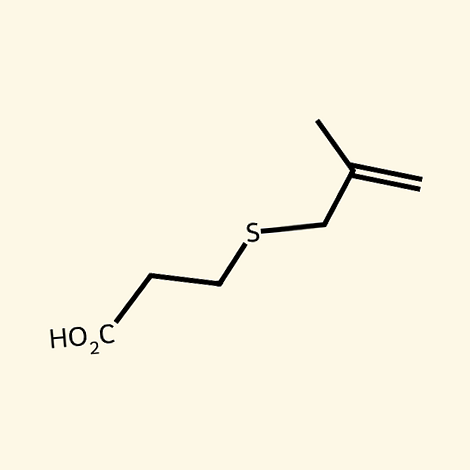 C=C(C)CSCCC(=O)O